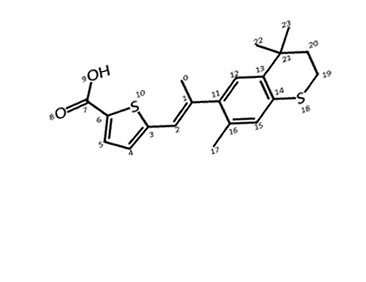 CC(=Cc1ccc(C(=O)O)s1)c1cc2c(cc1C)SCCC2(C)C